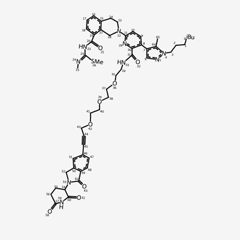 CCC(C)CCCn1ncc(-c2ccc(N3CCc4cccc(C(=O)N/C(=N/C)SC)c4C3)nc2C(=O)NCCOCCOCCOCC#Cc2ccc3c(c2)CN(C2CCC(=O)NC2=O)C3=O)c1C